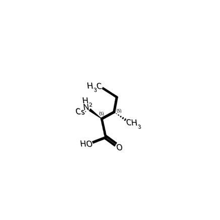 CC[C@H](C)[C@H](N)C(=O)O.[Cs]